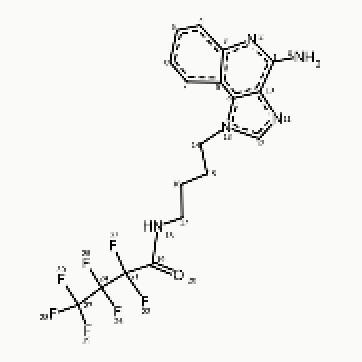 Nc1nc2ccccc2c2c1ncn2CCCCNC(=O)C(F)(F)C(F)(F)C(F)(F)F